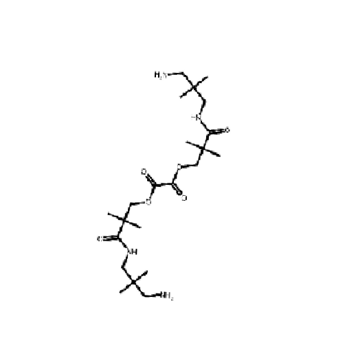 CC(C)(CN)CNC(=O)C(C)(C)COC(=O)C(=O)OCC(C)(C)C(=O)NCC(C)(C)CN